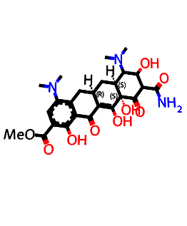 COC(=O)c1cc(N(C)C)c2c(c1O)C(=O)C1=C(O)[C@]3(O)C(=O)C(C(N)=O)C(O)C(N(C)C)[C@@H]3C[C@@H]1C2